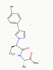 CCCc1ccc(-c2ccn([C@H](CC(=O)O)C(=O)N[C@H](C(=O)NC)C(C)(C)C)c2)cc1